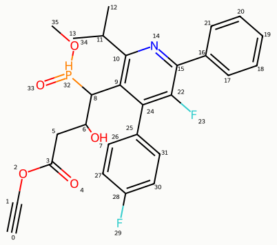 C#COC(=O)CC(O)C(c1c(C(C)C)nc(-c2ccccc2)c(F)c1-c1ccc(F)cc1)[PH](=O)OC